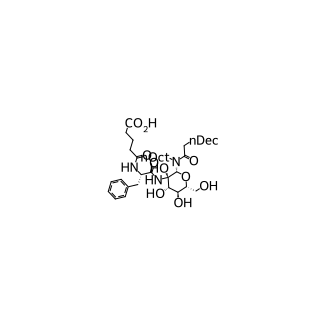 CCCCCCCCCCCC(=O)N(CCCCCCCC)[C@@H]1O[C@H](CO)[C@@H](O)[C@H](O)[C@]1(O)NC(=O)[C@H](Cc1ccccc1)NC(=O)CCCC(=O)O